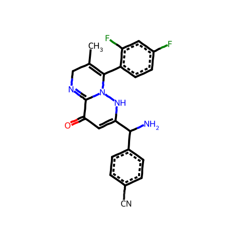 CC1=C(c2ccc(F)cc2F)N2NC(C(N)c3ccc(C#N)cc3)=CC(=O)C2=NC1